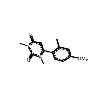 COc1ccc(-c2cc(=O)n(C)c(=O)n2C)c(C)c1